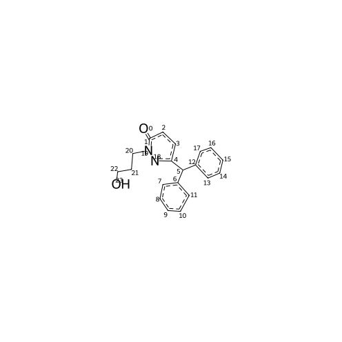 O=c1ccc(C(c2ccccc2)c2ccccc2)nn1CCCO